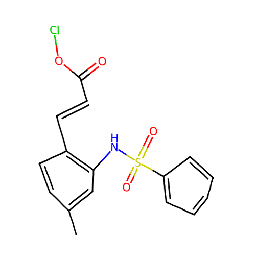 Cc1ccc(C=CC(=O)OCl)c(NS(=O)(=O)c2ccccc2)c1